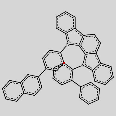 c1ccc(-c2ccccc2-n2c3ccccc3c3ccc4c5ccccc5n(-c5ccc(-c6ccc7ccccc7c6)cc5)c4c32)cc1